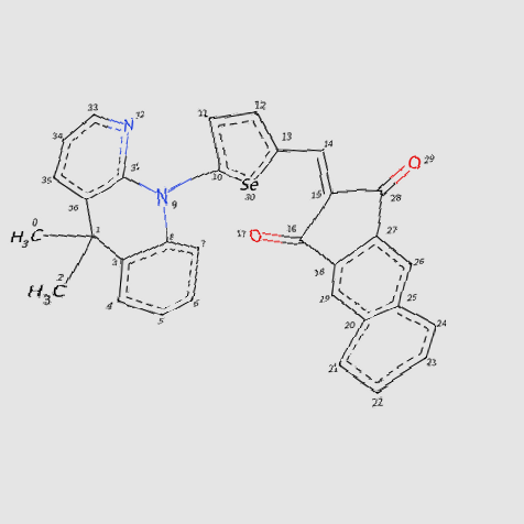 CC1(C)c2ccccc2N(c2ccc(C=C3C(=O)c4cc5ccccc5cc4C3=O)[se]2)c2ncccc21